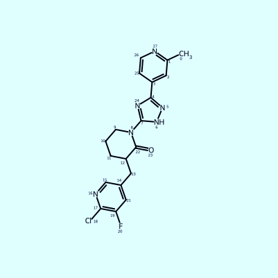 Cc1cc(-c2n[nH]c(N3CCCC(Cc4cnc(Cl)c(F)c4)C3=O)n2)ccn1